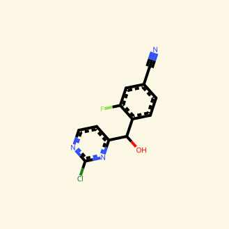 N#Cc1ccc(C(O)c2ccnc(Cl)n2)c(F)c1